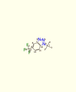 CC(C)(C)n1nnc2cc(C(F)(F)F)ccc21